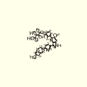 COc1cc2[nH]nc(-c3ccc(N4CCN5CC(O)CC5C4)nc3)c2nc1-c1cccc(C)c1C.O=C(O)C(O)C(O)C(=O)O